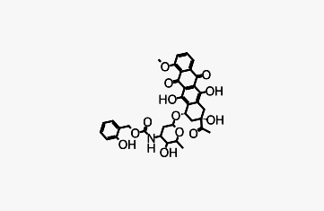 COc1cccc2c1C(=O)c1c(O)c3c(c(O)c1C2=O)C[C@@](O)(C(C)=O)C[C@@H]3OC1CC(NC(=O)OCc2ccccc2O)C(O)C(C)O1